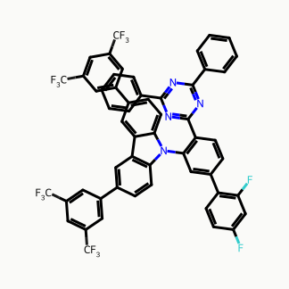 Fc1ccc(-c2ccc(-c3nc(-c4ccccc4)nc(-c4ccccc4)n3)c(-n3c4ccc(-c5cc(C(F)(F)F)cc(C(F)(F)F)c5)cc4c4cc(-c5cc(C(F)(F)F)cc(C(F)(F)F)c5)ccc43)c2)c(F)c1